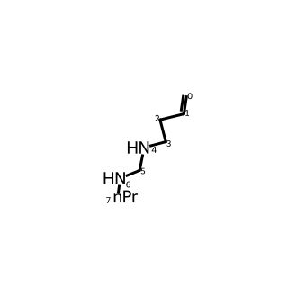 C=CCCNCNCCC